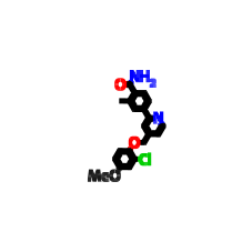 COc1ccc(OCc2ccnc(-c3ccc(C(N)=O)c(C)c3)c2)c(Cl)c1